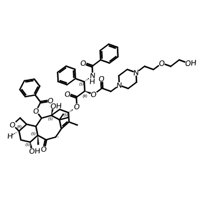 CC1=C2[CH]C(=O)[C@@]3(C)C([C]4CO[C@@H]4C[C@@H]3O)C(OC(=O)c3ccccc3)[C@](O)(C[C@@H]1OC(=O)[C@H](OC(=O)CN1CCN(CCOCCO)CC1)[C@@H](NC(=O)c1ccccc1)c1ccccc1)C2(C)C